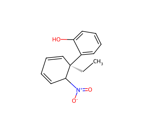 CC[C@@]1(c2ccccc2O)C=CC=CC1[N+](=O)[O-]